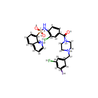 O=C(c1ccc(NS(=O)(=O)c2cccc3cccnc23)c(F)c1)N1CCN(Cc2cc(F)cc(I)c2)CC1